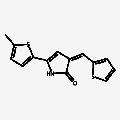 Cc1ccc(C2=CC(=Cc3cccs3)C(=O)N2)s1